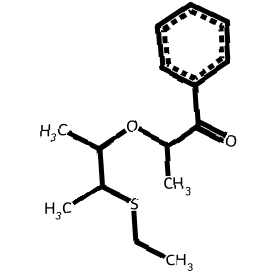 CCSC(C)C(C)OC(C)C(=O)c1ccccc1